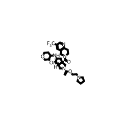 C=C(OCCN1CCCC1)N1C[C@@H]2C[C@@H](NC3CCOCC3OC)C[C@]2(C(=O)N2CCc3ncc(C(F)(F)F)cc3C2)C1